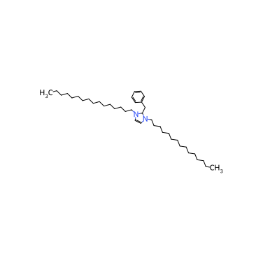 CCCCCCCCCCCCCCCCN1C=CN(CCCCCCCCCCCCCCC)C1Cc1ccccc1